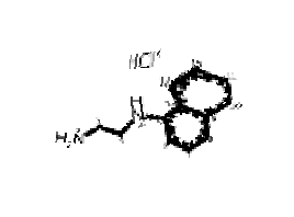 Cl.NCCNc1cccc2ccccc12